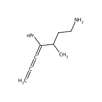 C=C=C=C(CCC)C(C)CCN